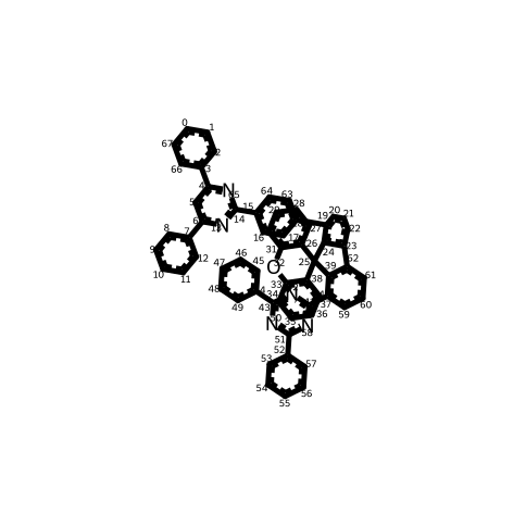 c1ccc(-c2cc(-c3ccccc3)nc(-c3ccc(-c4cccc5c4C4(c6ccccc6Oc6ccccc64)c4c(-c6nc(-c7ccccc7)nc(-c7ccccc7)n6)cccc4-5)cc3)n2)cc1